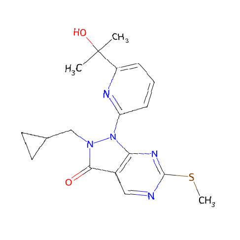 CSc1ncc2c(=O)n(CC3CC3)n(-c3cccc(C(C)(C)O)n3)c2n1